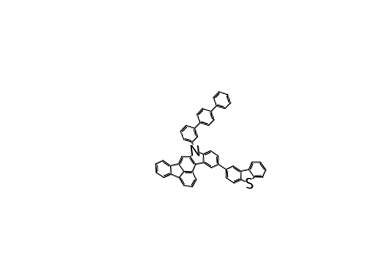 c1ccc(-c2ccc(-c3cccc(-n4c5ccc(-c6ccc7sc8ccccc8c7c6)cc5c5c6cccc7c6c(cc54)-c4ccccc4-7)c3)cc2)cc1